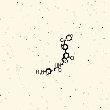 Nc1ccc(C=CC(=O)NCc2cc3cc(-c4ccc(C(=O)N5CCOCC5)nn4)cc(Cl)c3o2)cn1